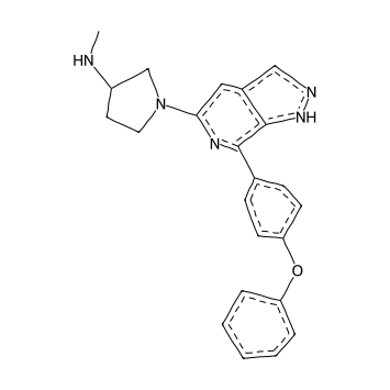 CNC1CCN(c2cc3cn[nH]c3c(-c3ccc(Oc4ccccc4)cc3)n2)C1